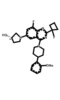 COc1ccccc1C1CCN(c2nc(C3(F)CCC3)nc3c(F)cc(N4CC[C@H](O)C4)cc23)CC1